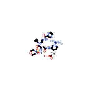 CC(=O)O.N=C(N)N1CCC[C@@H](CNC(=O)C[C@H](NS(=O)(=O)N2CCOCC2)C(=O)N(CCNC(=O)c2cnccn2)C2CC2)C1